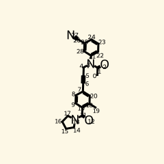 CC(=O)N(CC#Cc1ccc(C(=O)N2CCCC2)c(C)c1)c1cccc(C#N)c1